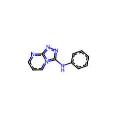 c1ccc(Nc2nnc3ncccn23)cc1